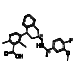 COc1cc([C@@H](C)NC[C@@H]2Cc3ccccc3C(c3ccc(C)c(C(=O)O)c3C)C2)ccc1F